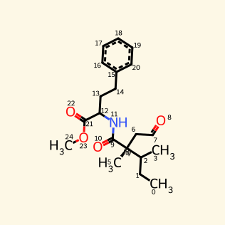 CCC(C)[C@@](C)(CC=O)C(=O)NC(CCc1ccccc1)C(=O)OC